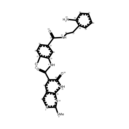 CSc1ncc2cc(C(=O)Nc3cc(C(=O)NCCc4ccccc4N)ccc3Cl)c(=O)[nH]c2n1